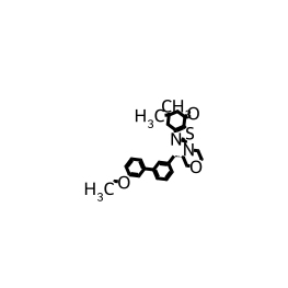 CCOc1cccc(-c2cccc(C[C@H]3COCCN3c3nc4c(s3)C(=O)CC(C)(C)C4)c2)c1